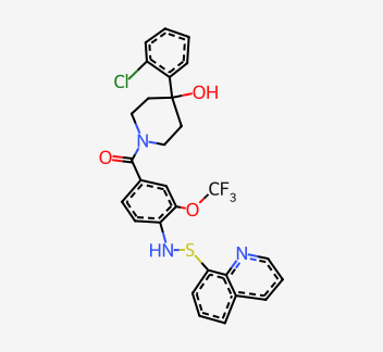 O=C(c1ccc(NSc2cccc3cccnc23)c(OC(F)(F)F)c1)N1CCC(O)(c2ccccc2Cl)CC1